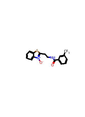 O=C(NCCc1sc2ccccc2[n+]1[O-])c1cccc(C(F)(F)F)c1